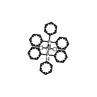 [Cl][Ni]([Cl])([PH](c1ccccc1)(c1ccccc1)c1ccccc1)[PH](c1ccccc1)(c1ccccc1)c1ccccc1